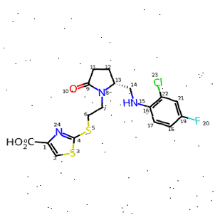 O=C(O)c1csc(SCCN2C(=O)CC[C@@H]2CNc2ccc(F)cc2Cl)n1